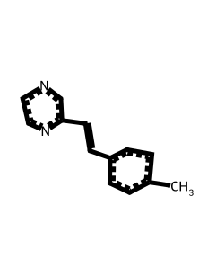 Cc1ccc(C=Cc2cnccn2)cc1